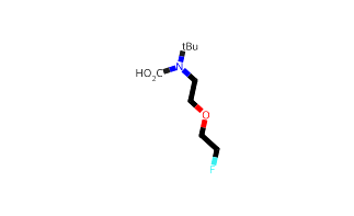 CC(C)(C)N(CCOCCF)C(=O)O